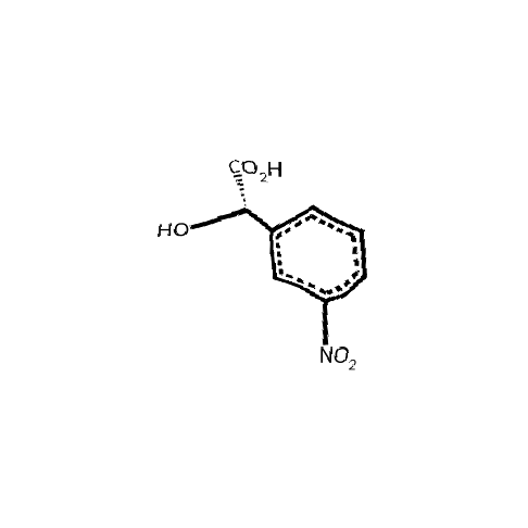 O=C(O)[C@@H](O)c1cccc([N+](=O)[O-])c1